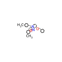 Cc1ccc(CC2(Cc3ccc(C)cc3)C(=O)N=C3C(OCc4ccccc4)=CC=CN32)cc1